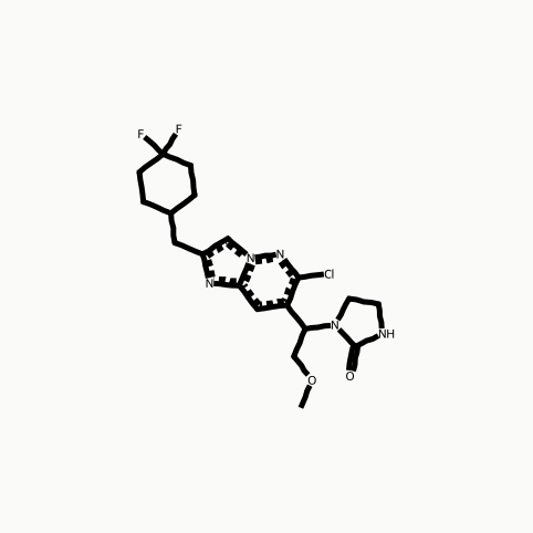 COCC(c1cc2nc(CC3CCC(F)(F)CC3)cn2nc1Cl)N1CCNC1=O